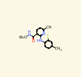 Cc1ccc(Nc2nc(C#N)ccc2C(=O)NOCC(C)C)c(F)c1